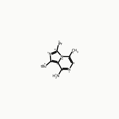 Cc1cnc(N)c2c(C(C)(C)C)nc(C(C)C)n12